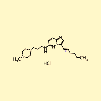 CCCC/C=C/c1cnc2ccc(NCCCN3CCN(C)CC3)nn12.Cl